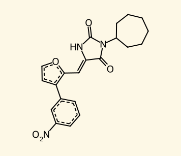 O=C1NC(=Cc2occc2-c2cccc([N+](=O)[O-])c2)C(=O)N1C1CCCCCC1